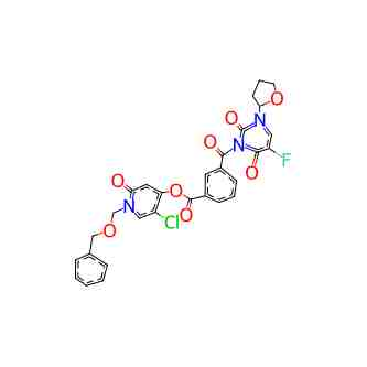 O=C(Oc1cc(=O)n(COCc2ccccc2)cc1Cl)c1cccc(C(=O)n2c(=O)c(F)cn(C3CCCO3)c2=O)c1